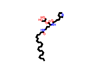 CC/C=C\C/C=C\C/C=C\C/C=C\C/C=C\C/C=C\CCC(=O)NCCC[C@H](NC(=O)C/C=C/c1cccnc1)C(=O)OC(CO)CO